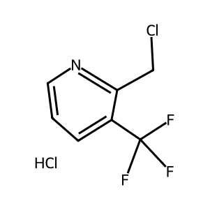 Cl.FC(F)(F)c1cccnc1CCl